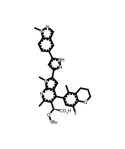 Cc1nc2c(cc(-c3cc(-c4ccc5c(cnn5C)c4)[nH]n3)n2C)c(-c2cc(F)c3c(c2C)CCCO3)c1[C@H](OC(C)(C)C)C(=O)O